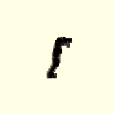 CCCCCC[C@@H](C)Oc1ccc(C(=O)Oc2ccc(-c3ccc(OCCCCCCC[C@@H](C)CC)cc3)cc2)cc1